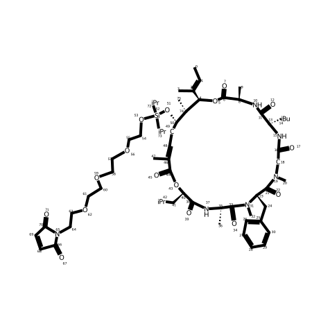 C/C=C(\C)[C@H]1OC(=O)[C@@H](C)NC(=O)[C@H](C(C)CC)NC(=O)CN(C)C(=O)[C@@H](Cc2ccccc2)N(C)C(=O)[C@H](C)NC(=O)[C@@H](CC(C)C)OC(=O)/C(C)=C/C[C@H](O[Si](OCCOCCOCCOCCN2C(=O)C=CC2=O)(C(C)C)C(C)C)[C@@H]1C